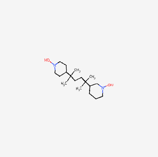 CC(C)(CCC(C)(C)C1CCCN(O)C1)C1CCN(O)CC1